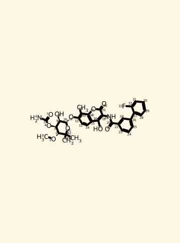 CO[C@@H]1[C@@H](OC(N)=O)[C@@H](O)[C@H](Oc2ccc3c(O)c(NC(=O)c4cccc(-c5ccccc5F)c4)c(=O)oc3c2C)OC1(C)C